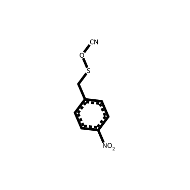 N#COSCc1ccc([N+](=O)[O-])cc1